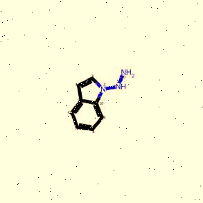 NNn1ccc2ccccc21